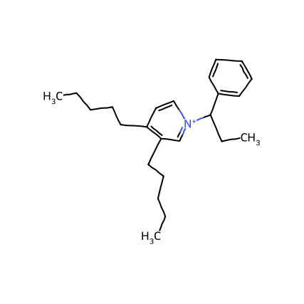 CCCCCc1cc[n+](C(CC)c2ccccc2)cc1CCCCC